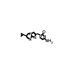 Nc1ccn(Cc2cn3cc(C4CC4)cnc3n2)c(=O)n1